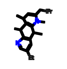 CCc1cnc2c(c1)C(C)C1=C(C(C)C=C(CC(C)C)N1C)C2C